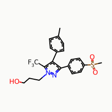 Cc1ccc(-c2c(-c3ccc(S(C)(=O)=O)cc3)nn(CCCO)c2C(F)(F)F)cc1